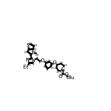 CCc1cn(CCOc2cccc(OC3CCCN(C(=O)OC(C)(C)C)CC3)c2)c(-c2cc3sccc3n2C)n1